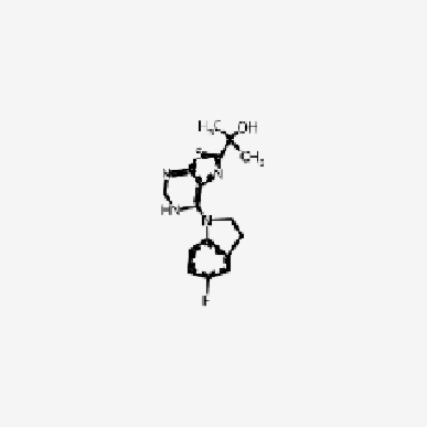 CC(C)(O)c1nc2c(s1)=NCNC=2N1CCc2cc(F)ccc21